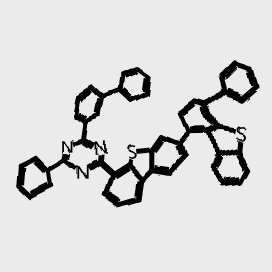 c1ccc(-c2cccc(-c3nc(-c4ccccc4)nc(-c4cccc5c4sc4cc(-c6ccc(-c7ccccc7)c7sc8ccccc8c67)ccc45)n3)c2)cc1